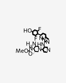 COC(=O)N(C)[C@@H]1[C@H](N)CN(c2ccncc2Nc2ncc3ccc(-c4c(F)cc(O)cc4F)nn23)C[C@@H]1C